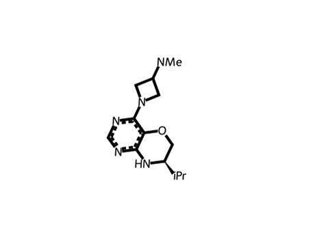 CNC1CN(c2ncnc3c2OC[C@@H](C(C)C)N3)C1